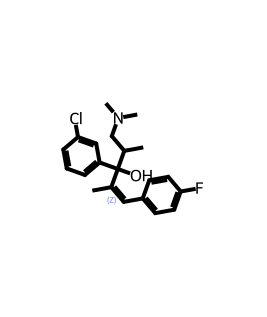 C/C(=C/c1ccc(F)cc1)C(O)(c1cccc(Cl)c1)C(C)CN(C)C